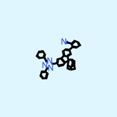 N#Cc1ccccc1-c1ccc2c(c1)C1(c3ccc(-c4nc(-c5ccccc5)nc(-c5ccccc5)n4)cc3-2)C2CC3CC(C2)CC1C3